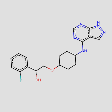 O[C@@H](COC1CCC(Nc2ncnc3[nH]ncc23)CC1)c1ccccc1F